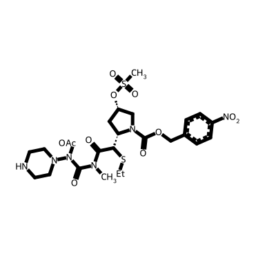 CCSC(C(=O)N(C)C(=O)N(OC(C)=O)N1CCNCC1)[C@@H]1C[C@H](OS(C)(=O)=O)CN1C(=O)OCc1ccc([N+](=O)[O-])cc1